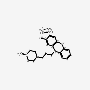 CC.CN1CCN(CCCN2c3ccccc3Sc3ccc(Cl)cc32)CC1.O=S(=O)(O)O